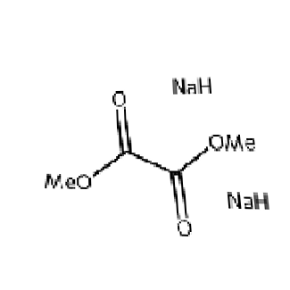 COC(=O)C(=O)OC.[NaH].[NaH]